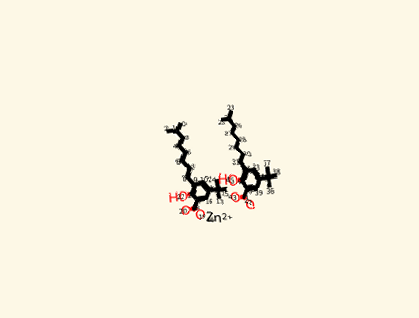 CC(C)CCCCCCc1cc(C(C)(C)C)cc(C(=O)[O-])c1O.CC(C)CCCCCCc1cc(C(C)(C)C)cc(C(=O)[O-])c1O.[Zn+2]